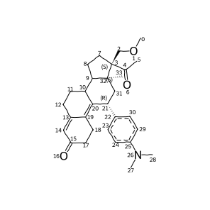 COC[C@]1(C(C)=O)CCC2C3CCC4=CC(=O)CCC4=C3[C@@H](c3ccc(N(C)C)cc3)C[C@@]21C